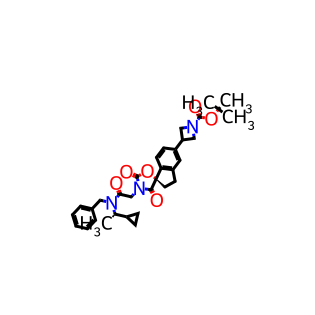 C[C@@H](C1CC1)N(Cc1ccccc1)C(=O)CN1C(=O)O[C@@]2(CCc3cc(C4CN(C(=O)OC(C)(C)C)C4)ccc32)C1=O